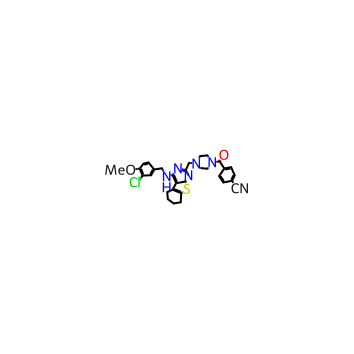 COc1ccc(CNc2nc(CN3CCN(C(=O)c4ccc(C#N)cc4)CC3)nc3sc4c(c23)CCCC4)cc1Cl